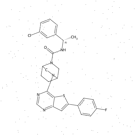 C[C@H](NC(=O)N1CC2CCC1CN2c1ncnc2cc(-c3ccc(F)cc3)sc12)c1cccc(Cl)c1